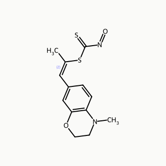 C/C(=C/c1ccc2c(c1)OCCN2C)SC(=S)N=O